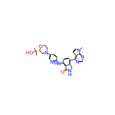 Cn1ccc2c(-c3ccc(Nc4ccc(N5CCO[C@@H](C(C)(C)O)C5)cn4)c4c3CNC4=O)ncnc21